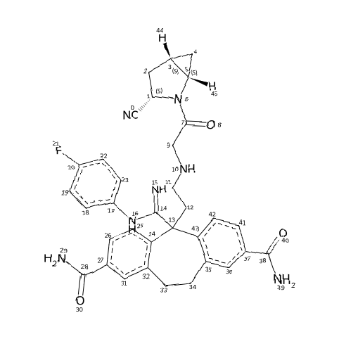 N#C[C@@H]1C[C@@H]2C[C@@H]2N1C(=O)CNCCC1(C(=N)Nc2ccc(F)cc2)c2ccc(C(N)=O)cc2CCc2cc(C(N)=O)ccc21